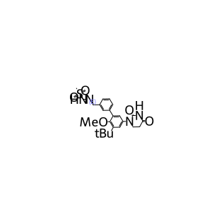 COc1c(-c2cccc(/C=N/NS(C)(=O)=O)c2)cc(N2CCC(=O)NC2=O)cc1C(C)(C)C